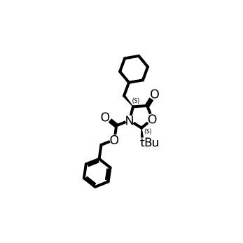 CC(C)(C)[C@@H]1OC(=O)[C@H](CC2CCCCC2)N1C(=O)OCc1ccccc1